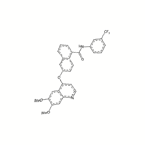 COc1cc2nccc(Oc3ccc4c(C(=O)Nc5cccc(C(F)(F)F)c5)cccc4c3)c2cc1OC